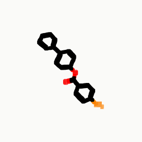 O=C(Oc1ccc(-c2ccccc2)cc1)c1ccc(P)cc1